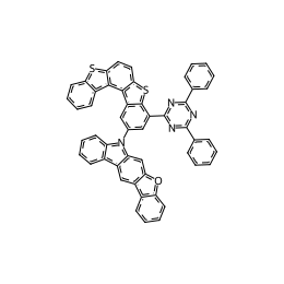 c1ccc(-c2nc(-c3ccccc3)nc(-c3cc(-n4c5ccccc5c5cc6c(cc54)oc4ccccc46)cc4c3sc3ccc5sc6ccccc6c5c34)n2)cc1